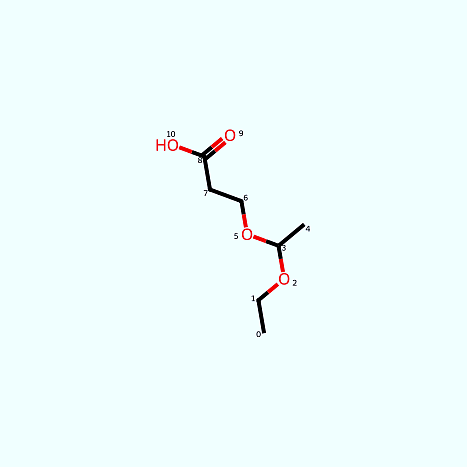 CCOC(C)OCCC(=O)O